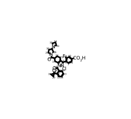 O=C(O)c1ccc(-c2nn(C(=O)c3c(Cl)cccc3C3(C(F)(F)F)CC3)c3c2CCC(C(=O)N2CCC(N4CCC4)C2)C3)c(F)c1